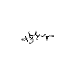 CC(=O)S[C@@H]1[C@H](C(C)(C)O)C(=O)N1C(=O)C(=O)OCOC(=O)C(C)(C)C